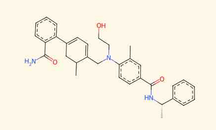 Cc1cc(C(=O)N[C@@H](C)c2ccccc2)ccc1N(CCO)CC1=CC=C(c2ccccc2C(N)=O)CC1C